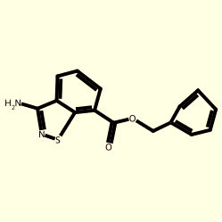 Nc1nsc2c(C(=O)OCc3ccccc3)cccc12